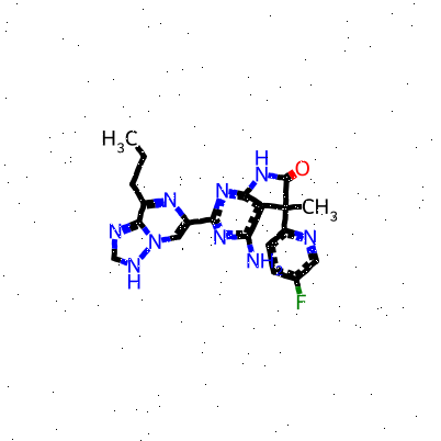 CCCC1=NC(c2nc(N)c3c(n2)NC(=O)C3(C)c2ccc(F)cn2)=CN2NCN=C12